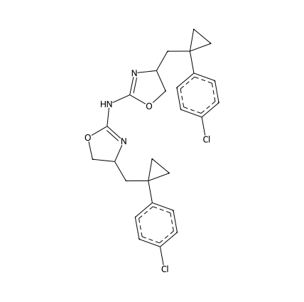 Clc1ccc(C2(CC3COC(NC4=NC(CC5(c6ccc(Cl)cc6)CC5)CO4)=N3)CC2)cc1